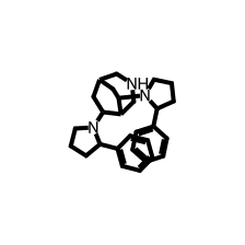 c1ccc(C2CCCN2C2CC3CNCC2C(N2CCCC2c2ccccc2)C3)cc1